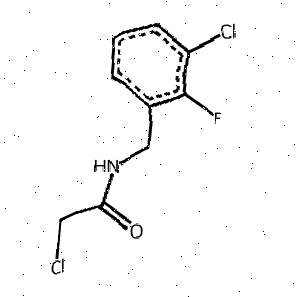 O=C(CCl)NCc1cccc(Cl)c1F